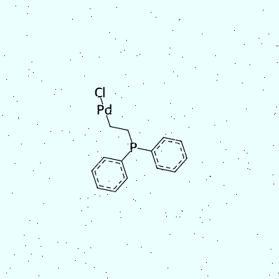 [Cl][Pd][CH2]CP(c1ccccc1)c1ccccc1